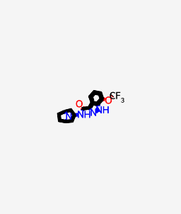 CN1C2CCC1CC(NC(=O)c1n[nH]c3c(OC(F)(F)F)cccc13)C2